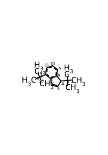 CC(C)(C)[C]1C=Cc2c1cccc2C(C)(C)C